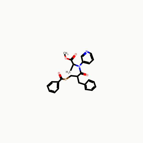 COC(=O)C(C)N(C(=O)C(CSC(=O)c1ccccc1)Cc1ccccc1)c1cccnc1